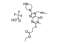 CC#CCn1c(N2CCNCC2)nc2nc(SCCC(=O)OCC)n(C)c(=O)c21.O=C(O)C(F)(F)F